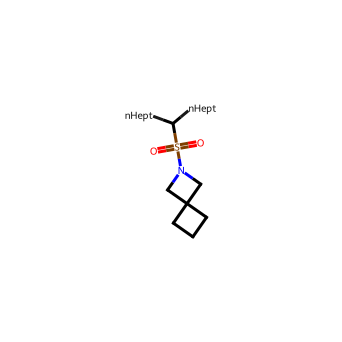 CCCCCCCC(CCCCCCC)S(=O)(=O)N1CC2(CCC2)C1